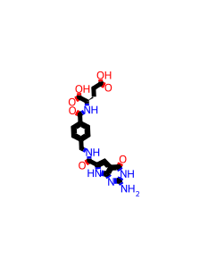 Nc1nc2[nH]c(C(=O)NCc3ccc(C(=O)N[C@@H](CCC(=O)O)C(=O)O)cc3)cc2c(=O)[nH]1